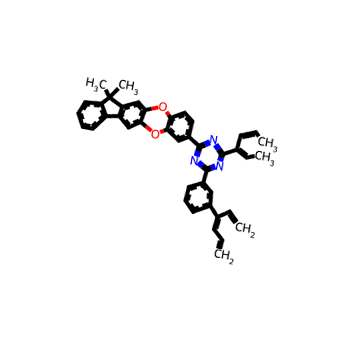 C=C/C=C(\C=C)c1cccc(-c2nc(C(/C=C\C)=C/C)nc(-c3ccc4c(c3)Oc3cc5c(cc3O4)C(C)(C)c3ccccc3-5)n2)c1